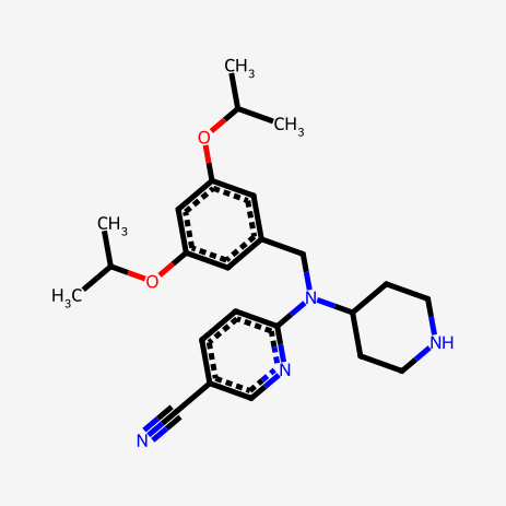 CC(C)Oc1cc(CN(c2ccc(C#N)cn2)C2CCNCC2)cc(OC(C)C)c1